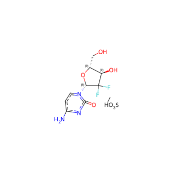 CS(=O)(=O)O.Nc1ccn([C@@H]2O[C@H](CO)[C@@H](O)C2(F)F)c(=O)n1